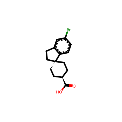 O=C(O)[C@H]1CC[C@@]2(CCc3cc(Br)ccc32)CC1